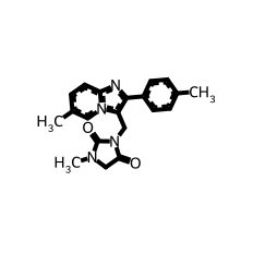 Cc1ccc(-c2nc3ccc(C)cn3c2CN2C(=O)CN(C)C2=O)cc1